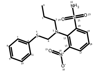 CCCN(CSc1ccccc1)c1c([N+](=O)[O-])cccc1S(N)(=O)=O